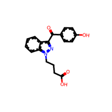 O=C(O)CCCn1nc(C(=O)c2ccc(O)cc2)c2ccccc21